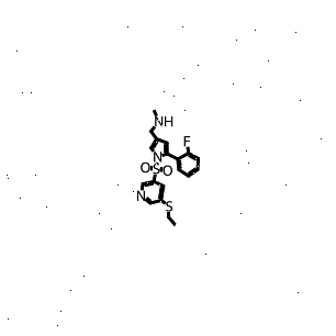 CCSc1cncc(S(=O)(=O)n2cc(CNC)cc2-c2ccccc2F)c1